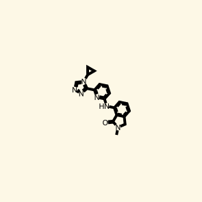 CN1Cc2cccc(Nc3cccc(-c4nncn4C4CC4)n3)c2C1=O